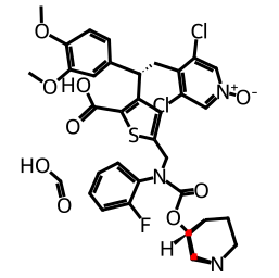 COc1ccc([C@H](Cc2c(Cl)c[n+]([O-])cc2Cl)c2cc(CN(C(=O)O[C@H]3CN4CCC3CC4)c3ccccc3F)sc2C(=O)O)cc1OC.O=CO